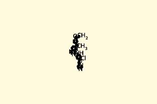 C=CC(=O)N1CCC(N(C)c2ccc3ncnc(Nc4ccc(OCc5ccncn5)c(Cl)c4)c3n2)C1